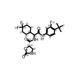 CC(C)(C)c1ccc(NC(=O)C(NC(=O)[C@@H]2CNC(=O)O2)C2CCC(F)(F)CC2)cc1F